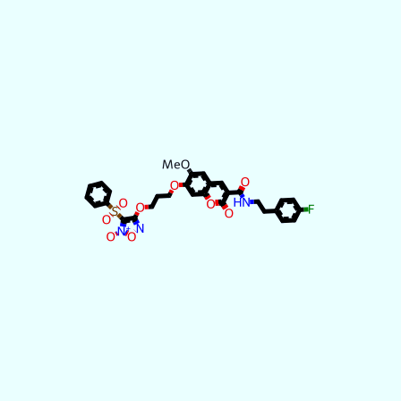 COc1cc2cc(C(=O)NCCc3ccc(F)cc3)c(=O)oc2cc1OCCCOc1no[n+]([O-])c1S(=O)(=O)c1ccccc1